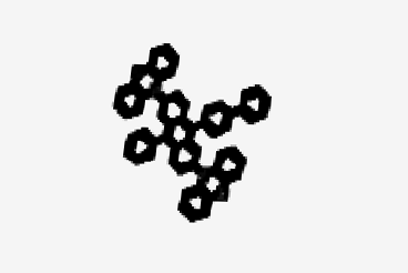 c1ccc(-c2ccc(-c3c4ccc(N5c6ccccc6Oc6ccccc65)cc4c(-c4ccccc4)c4ccc(N5c6ccccc6Oc6ccccc65)cc34)cc2)cc1